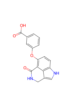 O=C(O)c1cccc(Oc2ccc3[nH]cc4c3c2C(=O)NC4)c1